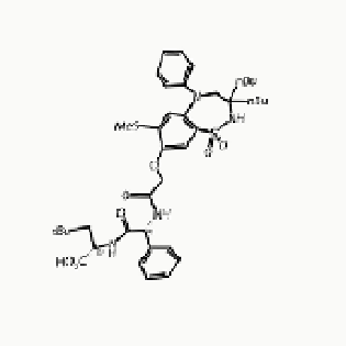 CCCCC1(CCCC)CN(c2ccccc2)c2cc(SC)c(OCC(=O)N[C@@H](C(=O)N[C@@H](CC(C)(C)C)C(=O)O)c3ccccc3)cc2S(=O)(=O)N1